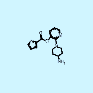 NC1CCN(c2ncccc2OC(=O)c2cccs2)CC1